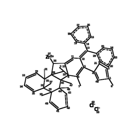 CC1=CCC(C2=C(C)C3(C)C(=CC2=C(c2ccccc2)c2ccccc2)[CH]([Zr+2])C2(C)C4(C)C=CC=CC4(C)C4(C)C=CC=CC4(C)C32C)=C1.[Cl-].[Cl-]